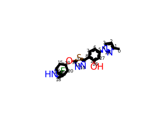 Cc1ccn(-c2ccc(-c3nnc(OC4CC5NCC6(C4)CC56F)s3)c(O)c2)n1